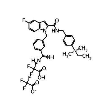 CC[N+](C)(C)c1ccc(CNC(=O)c2cc3cc(F)ccc3n2Cc2cccc(C(=N)N)c2)cc1.O=C(O)C(F)(F)F.O=C([O-])C(F)(F)F